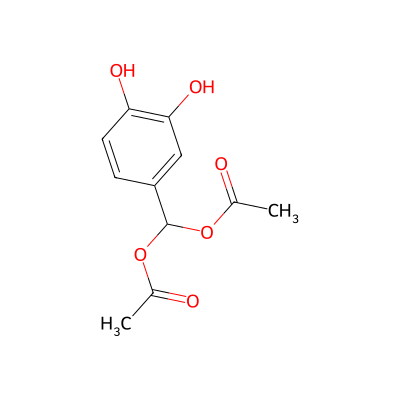 CC(=O)OC(OC(C)=O)c1ccc(O)c(O)c1